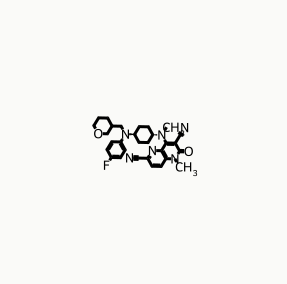 Cn1c(=O)c(C#N)c(N(C)[C@H]2CC[C@H](N(CC3CCCOC3)c3ccc(F)cc3)CC2)c2nc(C#N)ccc21